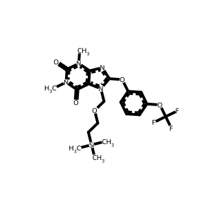 Cn1c(=O)c2c(nc(Oc3cccc(OC(F)(F)F)c3)n2COCC[Si](C)(C)C)n(C)c1=O